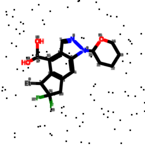 CCC1c2c(cc3c(cnn3C3CCCCO3)c2B(O)O)CC1(F)F